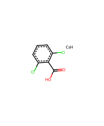 O=C(O)c1c(Cl)cccc1Cl.[CsH]